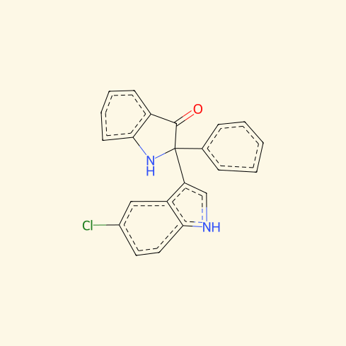 O=C1c2ccccc2NC1(c1ccccc1)c1c[nH]c2ccc(Cl)cc12